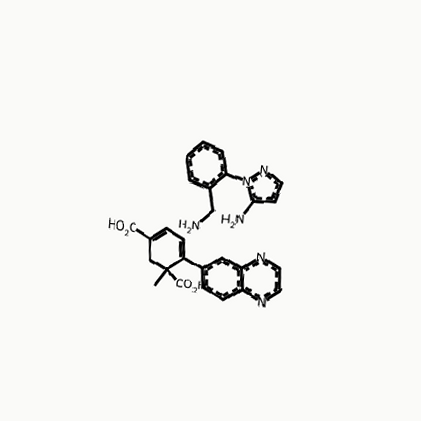 CC1(C(=O)O)CC(C(=O)O)=CC=C1c1ccc2nccnc2c1.NCc1ccccc1-n1nccc1N